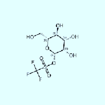 O=S(=O)(O[C@@H]1O[C@H](CO)[C@@H](O)[C@H](O)[C@@H]1O)C(F)(F)F